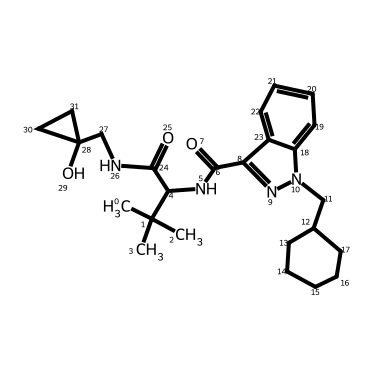 CC(C)(C)C(NC(=O)c1nn(CC2CCCCC2)c2ccccc12)C(=O)NCC1(O)CC1